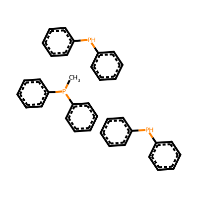 CP(c1ccccc1)c1ccccc1.c1ccc(Pc2ccccc2)cc1.c1ccc(Pc2ccccc2)cc1